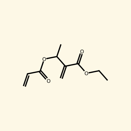 C=CC(=O)OC(C)C(=C)C(=O)OCC